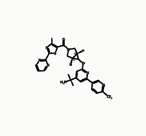 Cc1nc(-c2ncccn2)sc1C(=O)N1C[C@@H]2C(Oc3cc(C(C)(C)N)cc(-c4ccc(C(F)(F)F)nc4)n3)[C@@H]2C1